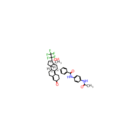 CC(=O)Nc1ccc(NC(=O)c2ccc([C@H]3C[C@@]4(C)[C@@H](CC[C@@]4(O)C(F)(F)C(F)(F)F)[C@@H]4CCC5=CC(=O)CCC5=C43)cc2)cc1